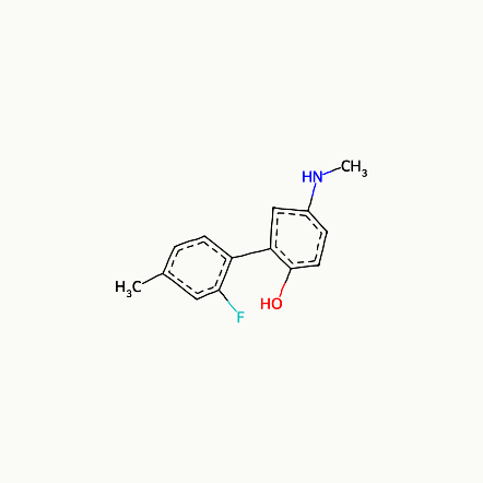 CNc1ccc(O)c(-c2ccc(C)cc2F)c1